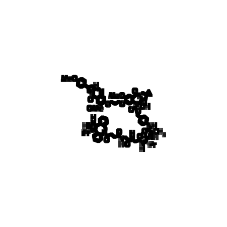 COc1ccc(C2=CN3C(=O)c4cc(OC)c(OCCCOc5cc6c(cc5OC)C(=O)N5CC7(CC7)C[C@H]5C(O)N6C(=O)OCc5ccc(NC(=O)[C@H](C)NC(=O)[C@@H](NC(=O)CNC(=O)CNC(=O)CCC(=O)N6Cc7ccccc7C7=C(c8ccccc86)N(C(C)C)NN7)C(C)C)cc5)cc4N=C[C@@H]3C2)cc1